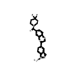 Cn1ncc2cc(-c3cnc4ccc(C(=O)N5CCC(F)(F)CC5)cc4n3)ccc21